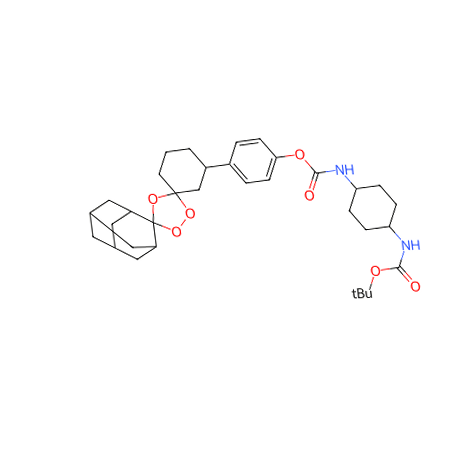 CC(C)(C)OC(=O)NC1CCC(NC(=O)Oc2ccc(C3CCCC4(C3)OOC3(O4)C4CC5CC(C4)CC3C5)cc2)CC1